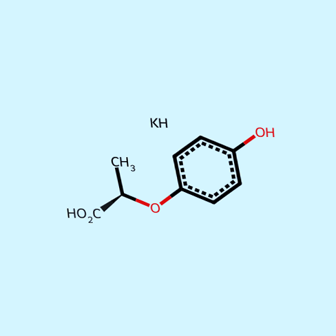 C[C@@H](Oc1ccc(O)cc1)C(=O)O.[KH]